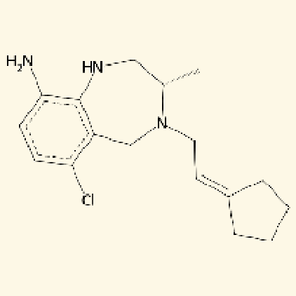 C[C@H]1CNc2c(N)ccc(Cl)c2CN1CC=C1CCCC1